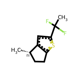 C[C@H]1CCc2sc(C(C)(F)F)cc21